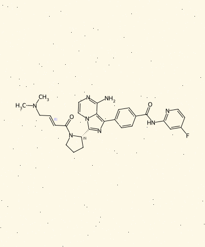 CN(C)C/C=C/C(=O)N1CCC[C@H]1c1nc(-c2ccc(C(=O)Nc3cc(F)ccn3)cc2)c2c(N)nccn12